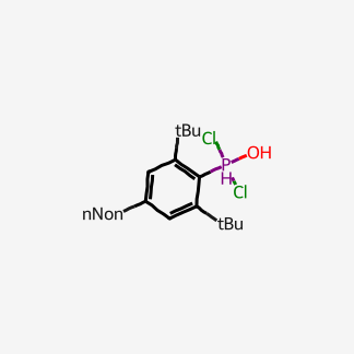 CCCCCCCCCc1cc(C(C)(C)C)c([PH](O)(Cl)Cl)c(C(C)(C)C)c1